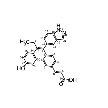 CC/C(=C(/c1ccc(/C=C/C(=O)O)cc1)c1ccc2[nH]ncc2c1)c1ccc(O)cc1